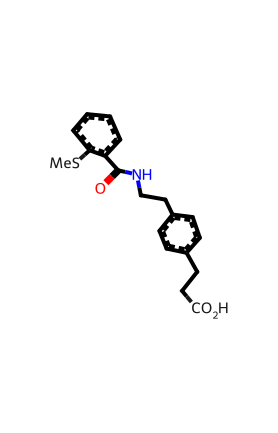 CSc1ccccc1C(=O)NCCc1ccc(CCC(=O)O)cc1